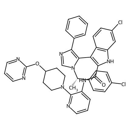 C[C@@H](c1ccc(Cl)cc1)n1cnc(-c2ccccc2)c1-c1c(C(=O)Nc2cccnc2N2CCC(Oc3ncccn3)CC2)[nH]c2cc(Cl)ccc12